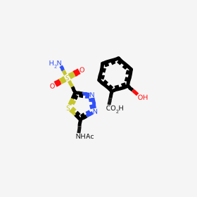 CC(=O)Nc1nnc(S(N)(=O)=O)s1.O=C(O)c1ccccc1O